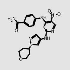 NC(=O)c1ccc(Nc2nc(Nc3cnn(C4CCOCC4)c3)ncc2[N+](=O)[O-])cc1